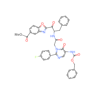 COC(=O)c1ccc2oc(C(=O)C(Cc3ccccc3)NC(=O)Cn3c(-c4ccc(F)cc4)ncc(NC(=O)OCc4ccccc4)c3=O)nc2c1